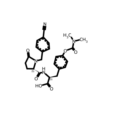 CN(C)C(=O)Oc1ccc(C[C@H](NC(=O)[C@@H]2CCC(=O)N2Cc2ccc(C#N)cc2)C(=O)O)cc1